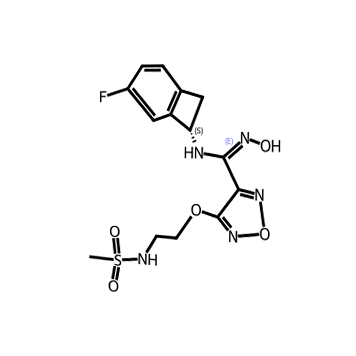 CS(=O)(=O)NCCOc1nonc1/C(=N\O)N[C@H]1Cc2ccc(F)cc21